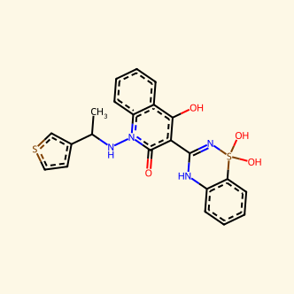 CC(Nn1c(=O)c(C2=NS(O)(O)c3ccccc3N2)c(O)c2ccccc21)c1ccsc1